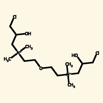 C[N+](C)(CCOCC[N+](C)(C)CC(O)CCl)CC(O)CCl